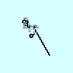 CCCCCCCCCCCCCCCCCCC[C@H](COP(O)(=P)OC[C@H]1O[C@@](C#N)(c2ccc3c(N)ccnn23)[C@H](O)[C@@H]1O)OCc1ccccc1